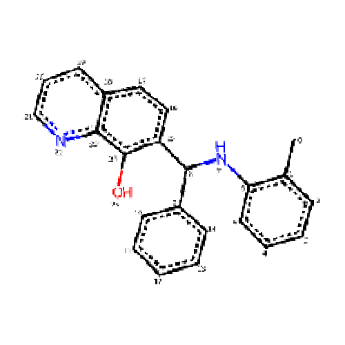 Cc1ccccc1NC(c1ccccc1)c1ccc2cccnc2c1O